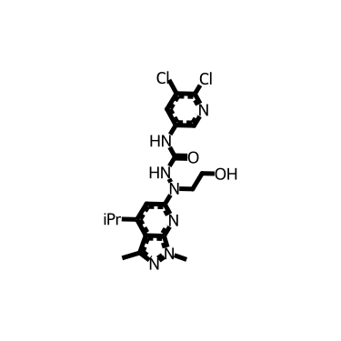 Cc1nn(C)c2nc(N(CCO)NC(=O)Nc3cnc(Cl)c(Cl)c3)cc(C(C)C)c12